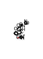 Cc1cnn(C)c1[C@H](c1ccccc1C#N)[C@@H](C)c1nc(C(=O)Nc2cnoc2)c(O)c(=O)n1C